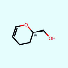 OC[C@H]1CCC=CO1